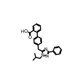 CC(C)Cn1nc(-c2ccccc2)nc1Cc1ccc(-c2ccccc2C(=O)O)cc1